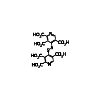 O=C(O)c1cnc(C(=O)O)c(C(=O)O)c1SSc1c(C(=O)O)cnc(C(=O)O)c1C(=O)O